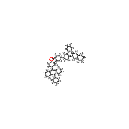 C1=C(c2ccc3oc4ccc(-c5c6ccccc6c(-c6ccccc6)c6ccccc56)cc4c3c2)CC(c2ccccc2)C(c2ccc3ccccc3c2)=C1